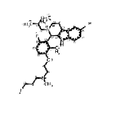 Cc1c(OCCN(C)CCCF)ccc(F)c1C1c2[nH]c3ccc(F)cc3c2C[C@@H](C)N1CC(C)C(=O)O